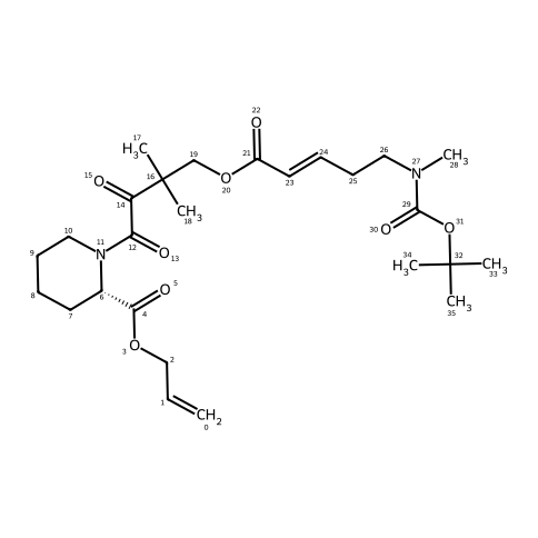 C=CCOC(=O)[C@@H]1CCCCN1C(=O)C(=O)C(C)(C)COC(=O)/C=C/CCN(C)C(=O)OC(C)(C)C